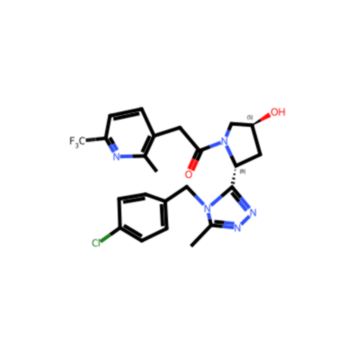 Cc1nc(C(F)(F)F)ccc1CC(=O)N1C[C@@H](O)C[C@@H]1c1nnc(C)n1Cc1ccc(Cl)cc1